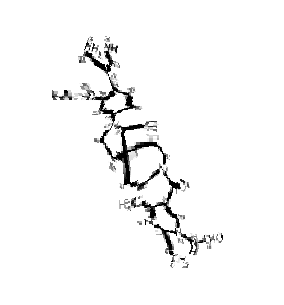 C/C=C1/N=C(C)C(C(=O)N2CCC3(CC2)CCN(c2ccc(/C(C=N)=C/N)c(OC)c2)C3=O)=CN1NC=O